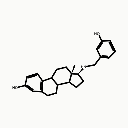 C[C@]12CCC3c4ccc(O)cc4CCC3C1CC[C@@H]2NCc1cccc(O)c1